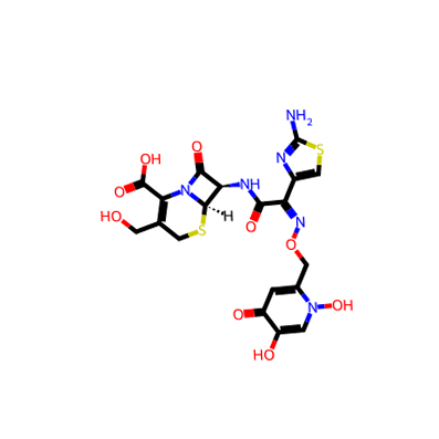 Nc1nc(/C(=N/OCc2cc(=O)c(O)cn2O)C(=O)N[C@@H]2C(=O)N3C(C(=O)O)=C(CO)CS[C@H]23)cs1